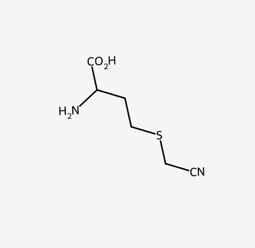 N#CCSCCC(N)C(=O)O